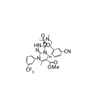 COC(=O)C1=C(C)N(c2cccc(C(F)(F)F)c2)c2n[nH]c(=O)n2[C@@H]1c1ccc(C#N)cc1CCN(C)S(C)(=O)=O